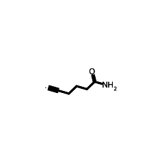 [C]#CCCCC(N)=O